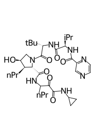 CCCC(NC(=O)[C@@H]1[C@@H](CCC)[C@@H](O)CN1C(=O)[C@@H](NC(=O)[C@H](NC(=O)c1cnccn1)C(C)C)C(C)(C)C)C(=O)C(=O)NC1CC1